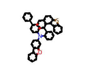 c1ccc(-c2ccc(N(c3ccc4c(c3)oc3ccccc34)c3ccccc3-c3cccc4ccc5sc6ccccc6c5c34)cc2)cc1